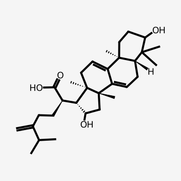 C=C(CC[C@@H](C(=O)O)[C@H]1C(O)C[C@@]2(C)C3=CC[C@H]4C(C)(C)C(O)CC[C@]4(C)C3=CC[C@]12C)C(C)C